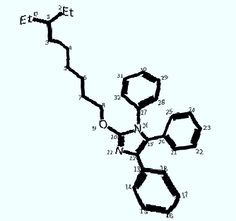 CCC(CC)CCCCCCOc1nc(-c2ccccc2)c(-c2ccccc2)n1-c1ccccc1